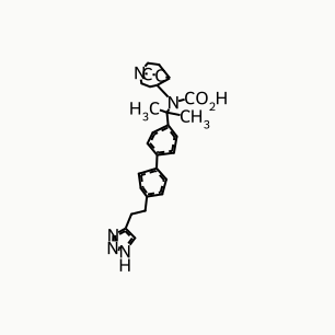 CC(C)(c1ccc(-c2ccc(CCc3c[nH]nn3)cc2)cc1)N(C(=O)O)C1CCN2CCC1CC2